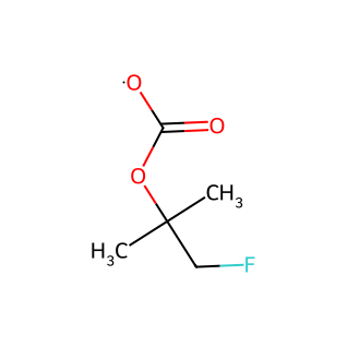 CC(C)(CF)OC([O])=O